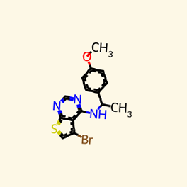 COc1ccc(C(C)Nc2ncnc3scc(Br)c23)cc1